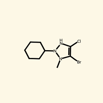 CN1C(Br)=C(Cl)NN1C1CCCCC1